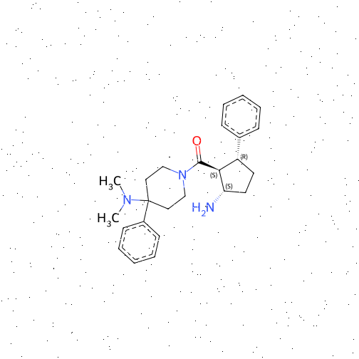 CN(C)C1(c2ccccc2)CCN(C(=O)[C@@H]2[C@@H](N)CC[C@H]2c2ccccc2)CC1